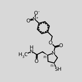 CNC(=O)C[C@@H]1C[C@H](S)CN1C(=O)OCc1ccc([N+](=O)[O-])cc1